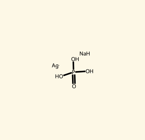 O=P(O)(O)O.[Ag].[NaH]